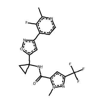 Cc1nccc(-c2cc(C3(NC(=O)c4cc(C(F)(F)F)nn4C)CC3)on2)c1F